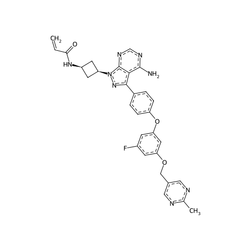 C=CC(=O)N[C@H]1C[C@@H](n2nc(-c3ccc(Oc4cc(F)cc(OCc5cnc(C)nc5)c4)cc3)c3c(N)ncnc32)C1